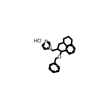 Cl.c1ccc(COC2c3cccc4c3C(CCC4)CC2Cn2ccnc2)cc1